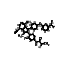 C=C(F)C(=O)Nc1ccc(-c2c(-c3ccc(Oc4nccc(C(F)F)n4)cc3)c3c(N)ncc(C#N)c3n2C)c(F)c1